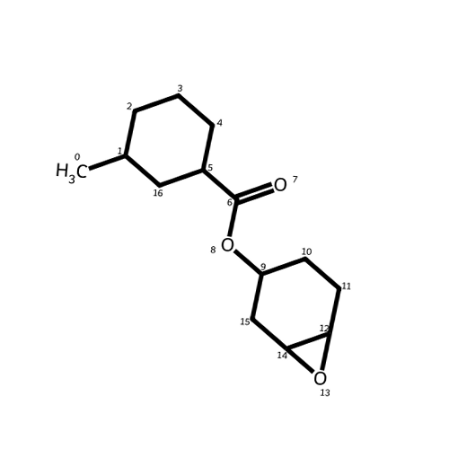 CC1CCCC(C(=O)OC2CCC3OC3C2)C1